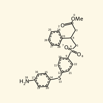 COC(=O)CC(CS(=O)(=O)c1ccc(Sc2ccc(N)cc2)cc1)c1ccccc1